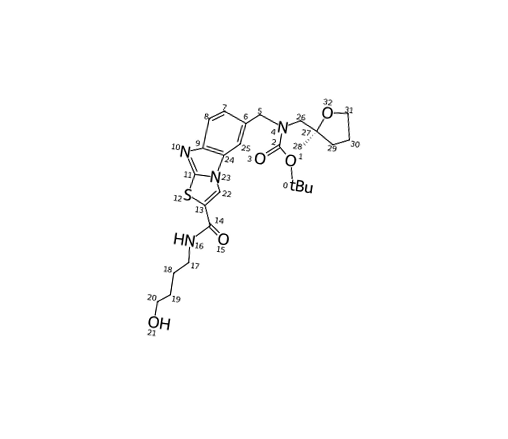 CC(C)(C)OC(=O)N(Cc1ccc2nc3sc(C(=O)NCCCCO)cn3c2c1)C[C@]1(C)CCCO1